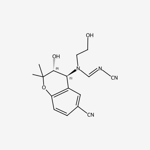 CC1(C)Oc2ccc(C#N)cc2[C@H](N(C=NC#N)CCO)[C@H]1O